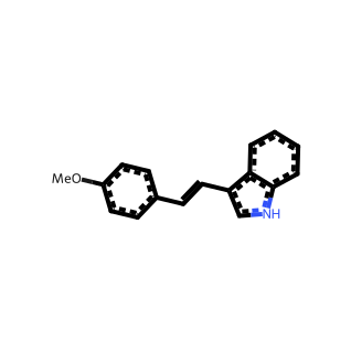 COc1ccc(C=Cc2c[nH]c3ccccc23)cc1